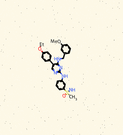 CCOc1ccc(-c2cnc(Nc3cccc(S(C)(=N)=O)c3)nc2NCc2cccc(OC)c2)cc1